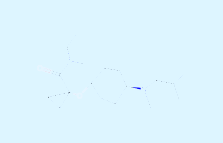 CCN1C[C@]2(CC[C@H](N(C)CC(C)C)CC2)OC2(CC2)C1=O